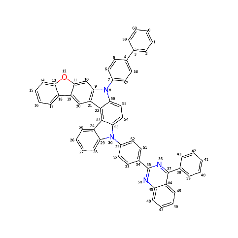 c1ccc(-c2ccc(-n3c4cc5oc6ccccc6c5cc4c4c5c6ccccc6n(-c6ccc(-c7nc(-c8ccccc8)c8ccccc8n7)cc6)c5ccc43)cc2)cc1